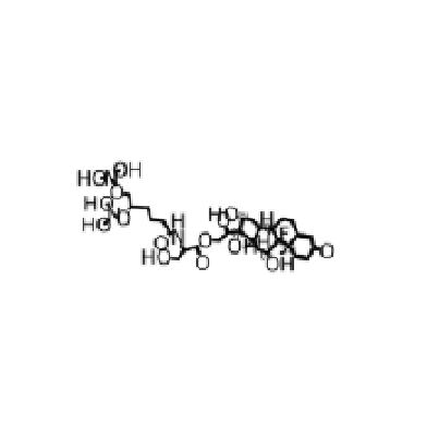 C[C@]12C=CC(=O)C=C1CC[C@H]1[C@@H]3C[C@@H](O)[C@](O)(C(=O)COC(=O)C(CO)NC(=O)CCCC(CON(O)O)ON(O)O)[C@@]3(C)C[C@H](O)[C@@]12F